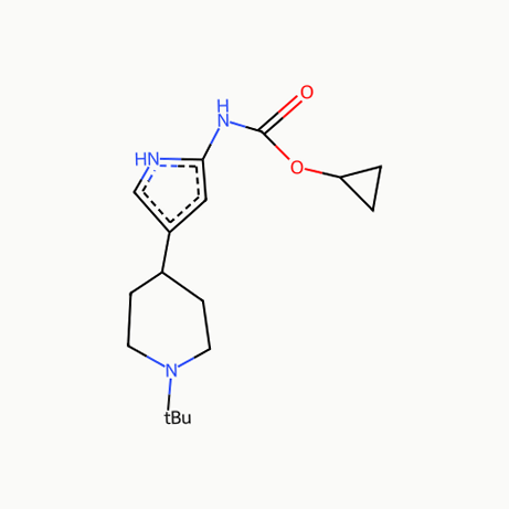 CC(C)(C)N1CCC(c2c[nH]c(NC(=O)OC3CC3)c2)CC1